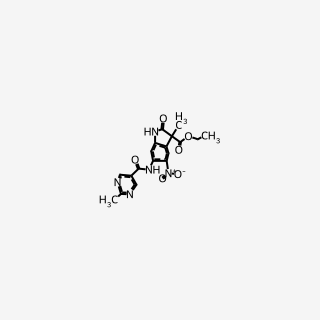 CCOC(=O)C1(C)C(=O)Nc2cc(NC(=O)c3cnc(C)nc3)c([N+](=O)[O-])cc21